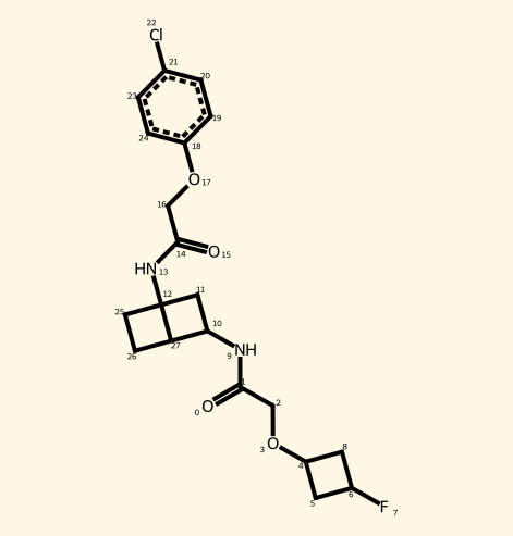 O=C(COC1CC(F)C1)NC1CC2(NC(=O)COc3ccc(Cl)cc3)CCC12